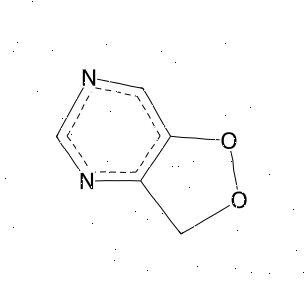 c1ncc2c(n1)COO2